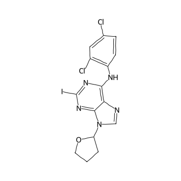 Clc1ccc(Nc2nc(I)nc3c2ncn3C2CCCO2)c(Cl)c1